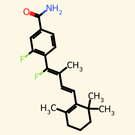 CC1=C(/C=C/C(C)=C(\F)c2ccc(C(N)=O)cc2F)C(C)(C)CCC1